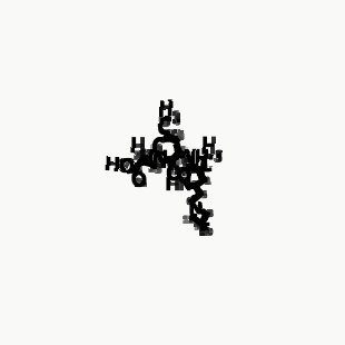 C/C(=C/C(=N)CCN1CC(F)C1)C(=O)NC(CC(C)C)C(=O)NCCC(=O)O